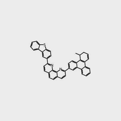 CC1CC=Cc2c1c1ccc(-c3ccc4ccc5ccc(-c6ccc7sc8ccccc8c7c6)nc5c4n3)cc1c1ccccc21